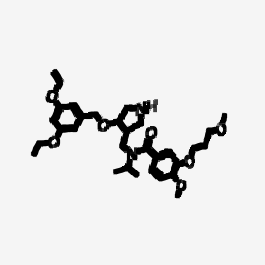 CCOc1cc(COC2CNCC2CN(C(=O)c2ccc(OC)c(OCCCOC)c2)C(C)C)cc(OCC)c1